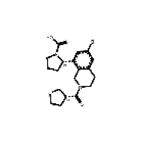 O=C([C@@H]1CCOC1)N1CCc2cc(Cl)cc([C@@H]3CCCN3C(=O)O)c2C1